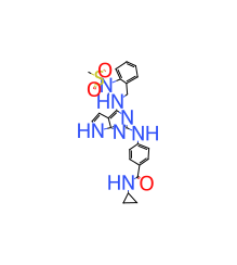 CN(c1ccccc1CNc1nc(Nc2ccc(C(=O)NC3CC3)cc2)nc2[nH]ccc12)S(C)(=O)=O